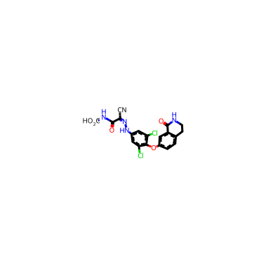 N#CC(=NNc1cc(Cl)c(Oc2ccc3c(c2)C(=O)NCC3)c(Cl)c1)C(=O)NC(=O)O